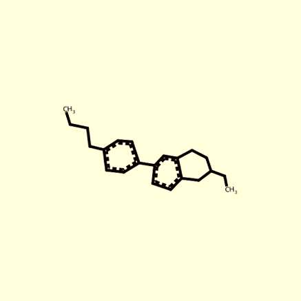 CCCCc1ccc(-c2ccc3c(c2)CCC(CC)C3)cc1